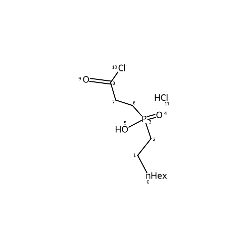 CCCCCCCCP(=O)(O)CCC(=O)Cl.Cl